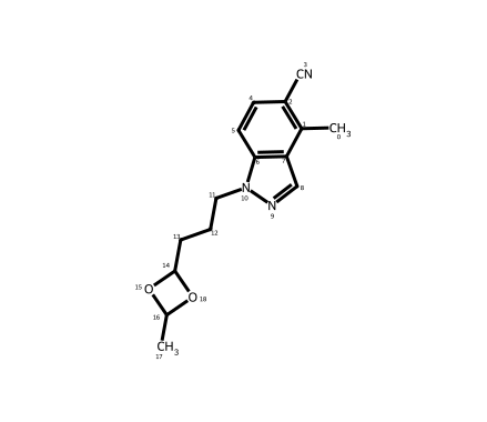 Cc1c(C#N)ccc2c1cnn2CCCC1OC(C)O1